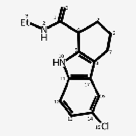 C=C(NCC)C1CCCc2c1[nH]c1ccc(Cl)cc21